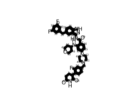 O=C1CCC(c2ccc(CN3CCN(c4ccc(C(=O)Nc5n[nH]c6ccc(Cc7cc(F)cc(F)c7)cc56)c(NC5CCOCC5)c4)CC3)cc2F)C(=O)N1